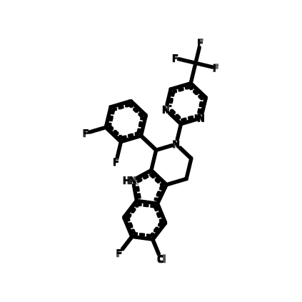 Fc1cc2[nH]c3c(c2cc1Cl)CCN(c1ncc(C(F)(F)F)cn1)C3c1cccc(F)c1F